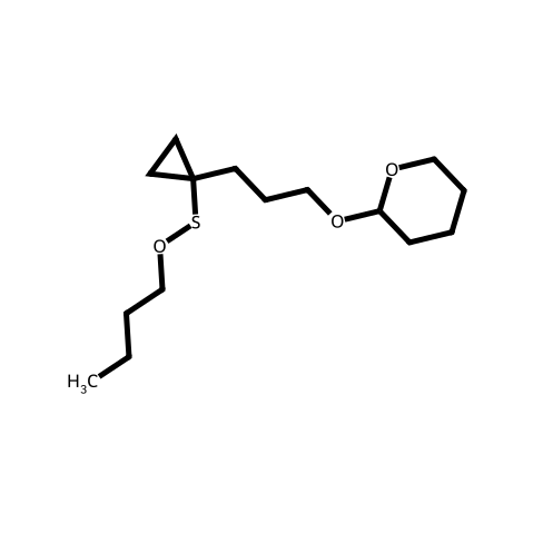 CCCCOSC1(CCCOC2CCCCO2)CC1